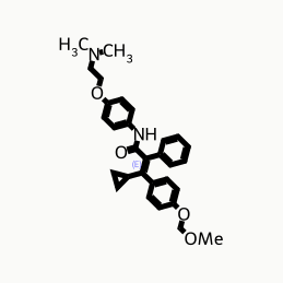 COCOc1ccc(/C(=C(/C(=O)Nc2ccc(OCCN(C)C)cc2)c2ccccc2)C2CC2)cc1